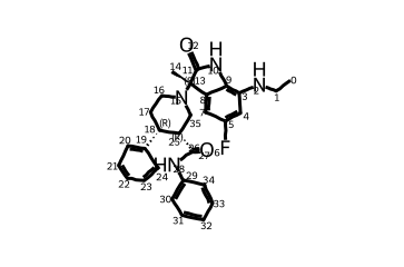 CCNc1cc(F)cc2c1NC(=O)[C@@]2(C)N1CC[C@@H](c2ccccc2)[C@@H](C(=O)Nc2ccccc2)C1